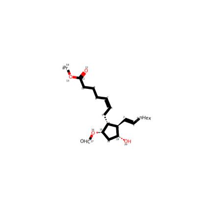 CCCCCC/C=C/[C@@H]1[C@@H](C/C=C\CCCC(=O)OC(C)C)[C@@H](OC=O)C[C@H]1O